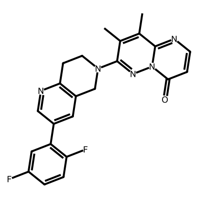 Cc1c(N2CCc3ncc(-c4cc(F)ccc4F)cc3C2)nn2c(=O)ccnc2c1C